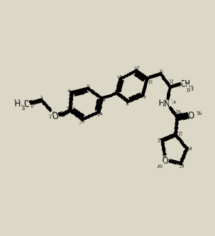 CCOc1ccc(-c2ccc(CC(C)NC(=O)C3CCOC3)cc2)cc1